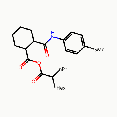 CCCCCCC(CCC)C(=O)OC(=O)C1CCCCC1C(=O)Nc1ccc(SC)cc1